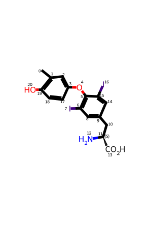 Cc1cc(Oc2c(I)cc(C[C@H](N)C(=O)O)cc2I)ccc1O